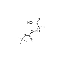 C[C@H](NOC(=O)OC(C)(C)C)C(=O)O